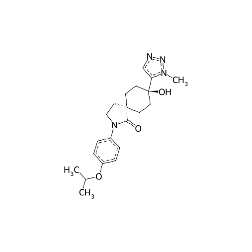 CC(C)Oc1ccc(N2CC[C@]3(CC[C@@](O)(c4cnnn4C)CC3)C2=O)cc1